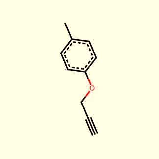 C#CCOc1[c]cc(C)cc1